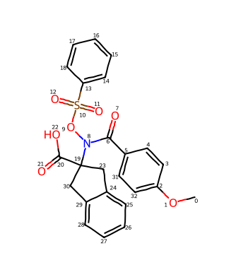 COc1ccc(C(=O)N(OS(=O)(=O)c2ccccc2)C2(C(=O)O)Cc3ccccc3C2)cc1